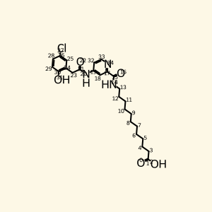 O=C(O)CCCCCCCCCCCNC(=O)c1cc(NC(=O)Cc2cc(Cl)ccc2O)ccn1